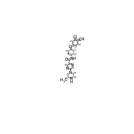 C[C@@H]1CN(c2cnc(C(=O)N[C@H]3CC[C@H](Oc4ccc(C#N)c(Cl)c4)CC3)cn2)CCN1